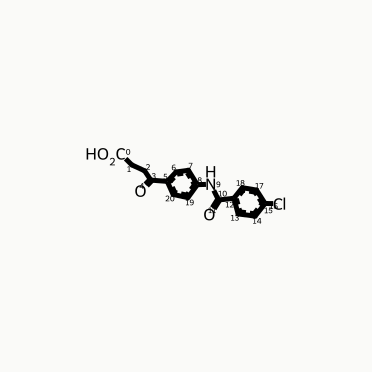 O=C(O)CCC(=O)c1ccc(NC(=O)c2ccc(Cl)cc2)cc1